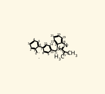 [C]c1ccccc1-c1ccc(Cn2c(C(C)C)nc3ccccc32)cc1